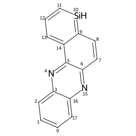 c1ccc2nc3c(ccc4[siH]cccc43)nc2c1